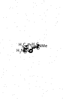 CN[C@@H](C)C(=O)NCCc1cccc(Nc2nc(C(C)C)c(C)nc2C(N)=O)c1